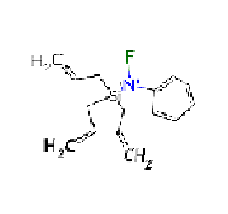 C=CC[Si](CC=C)(CC=C)[N+](F)c1ccccc1